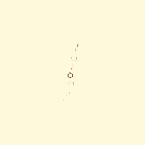 CCCCCC[C@H]1CC[C@H](CCCOc2ccc([C@H]3CC[C@H](CCCCCC)CC3)cc2)CC1